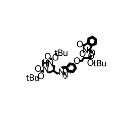 C[n+]1c2ccc(OCC(ON3C(=O)c4ccccc4C3=O)C(=O)OC(C)(C)C)cc2cn1CC(CNC(=O)OC(C)(C)C)CNC(=O)OC(C)(C)C